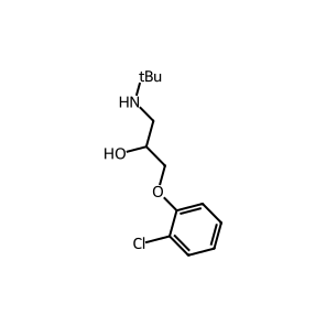 CC(C)(C)NCC(O)COc1ccccc1Cl